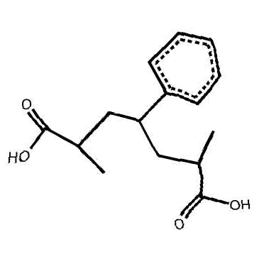 CC(CC(CC(C)C(=O)O)c1ccccc1)C(=O)O